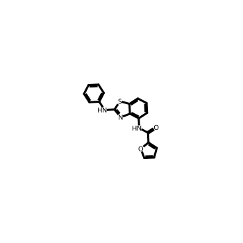 O=C(Nc1cccc2sc(Nc3ccccc3)nc12)c1ccco1